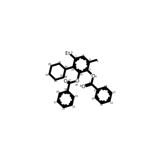 CCc1cc(C)c(OC(=O)c2ccccc2)c(OC(=O)c2ccccc2)c1C1CCCCC1